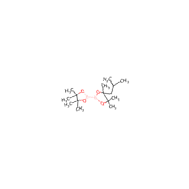 CC(C)CC1(C)OB(B2OC(C)(C)C(C)(C)O2)OC1(C)C